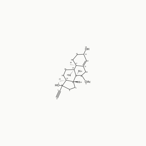 C#CC1(O)CC[C@H]2[C@@H]3C(OC(C)=O)CC4=CC(O)CC[C@]4(C)[C@@H]3CC[C@@]21C